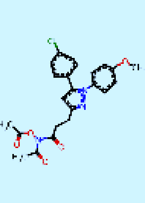 COc1ccc(-n2nc(CCC(=O)N(OC(C)=O)C(C)=O)cc2-c2ccc(Cl)cc2)cc1